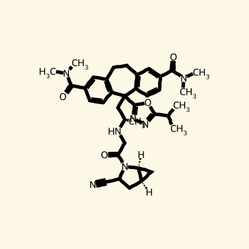 CC(C)c1nnc(C2(C[C@@H](C)NCC(=O)N3C(C#N)C[C@@H]4C[C@@H]43)c3ccc(C(=O)N(C)C)cc3CCc3cc(C(=O)N(C)C)ccc32)o1